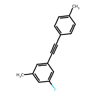 Cc1ccc(C#Cc2cc(C)cc(F)c2)cc1